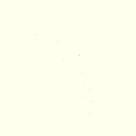 Cc1ccc(-c2ncc(CN3CC[C@@H](C(=O)N4CCC(O)(Cn5cnc6c(ccn6-c6cccs6)c5=O)CC4)[C@H](c4ccccc4)C3)s2)cn1